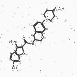 Cc1ccc2c(N)c(C(=O)NC3COc4cc(N5CCC(C(=O)O)CC5)ccc4C3)sc2n1